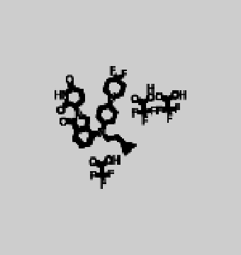 O=C(O)C(F)(F)F.O=C(O)C(F)(F)F.O=C(O)C(F)(F)F.O=C1CCC(N2Cc3c(cccc3N(CCC3CC3)C3CCC(N4CCC(F)(F)CC4)CC3)C2=O)C(=O)N1